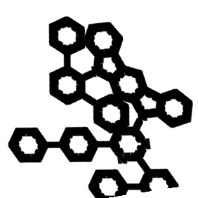 c1ccc(-c2ccc(-c3nc(-c4ccccc4-c4ccccc4)nc(-n4c5ccccc5c5cc6c7ccccc7n(-c7c(-c8ccccc8)cccc7-c7ccccc7)c6cc54)n3)cc2)cc1